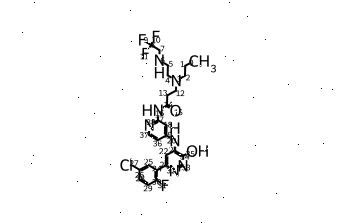 CCCN(CCNCC(F)(F)F)CCC(=O)Nc1cc(Nc2cc(-c3cc(Cl)ccc3F)nnc2O)ccn1